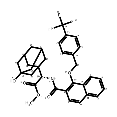 COC(=O)[C@@H](NC(=O)c1ccc2ccccc2c1OCc1ccc(C(F)(F)F)cc1)C12CC3CC(CC(O)(C3)C1)C2